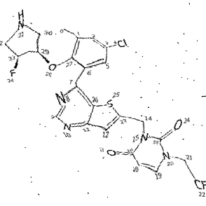 Cc1cc(Cl)cc(-c2ncnc3cc(Cn4c(=O)ccn(CC(F)(F)F)c4=O)sc23)c1O[C@@H]1CNC[C@@H]1F